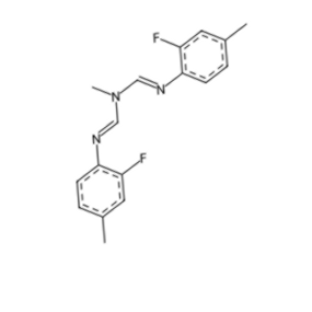 Cc1ccc(N=CN(C)C=Nc2ccc(C)cc2F)c(F)c1